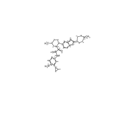 CC1CCC(c2ccc3sc(C4CCN(C)CC4)nc3c2)N(C(=O)C(=O)Nc2cnc(N)c(C3CC3)c2)C1